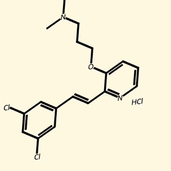 CN(C)CCCOc1cccnc1/C=C/c1cc(Cl)cc(Cl)c1.Cl